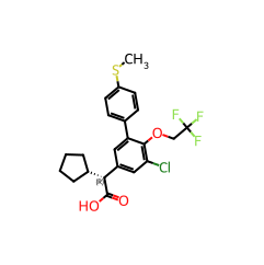 CSc1ccc(-c2cc([C@H](C(=O)O)C3CCCC3)cc(Cl)c2OCC(F)(F)F)cc1